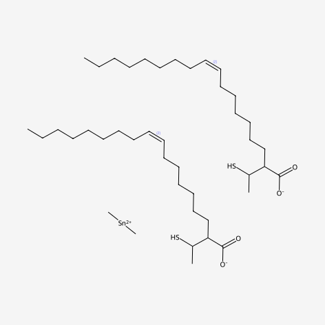 CCCCCCCC/C=C\CCCCCCC(C(=O)[O-])C(C)S.CCCCCCCC/C=C\CCCCCCC(C(=O)[O-])C(C)S.[CH3][Sn+2][CH3]